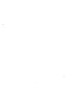 [CH2]C(CBr)c1ccc(F)c(F)c1